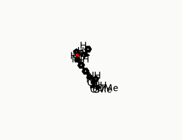 COC(=O)N[C@H](C(=O)N1CCCC1c1ncc(-c2ccc(-c3ccc(-c4cnc([C@@H]5[C@H]6CC[C@H](C6)[C@H]5C(=O)NC5(c6ccccc6)CC5)[nH]4)cc3)cc2)[nH]1)[C@@H](C)OC